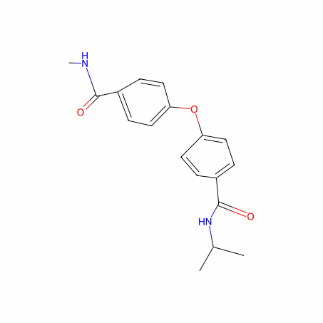 CNC(=O)c1ccc(Oc2ccc(C(=O)NC(C)C)cc2)cc1